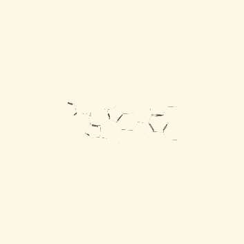 C=CC(=O)Nc1cnn(C)c1-c1n[nH]c2c1CCC(c1c(F)c(OC)cc(OC)c1F)C2